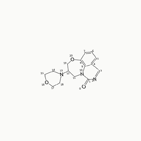 O=c1ncc2cccc3c2n1CC(N1CCOCC1)CO3